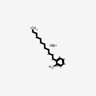 Br.CCCCCCCCCCCCc1ccccc1P